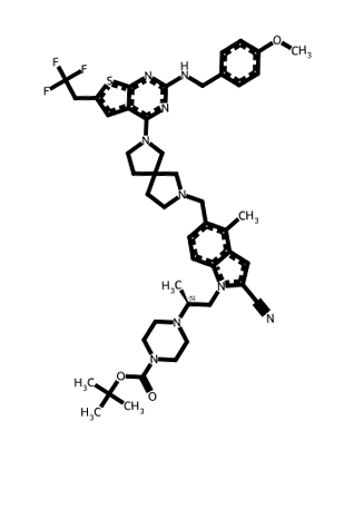 COc1ccc(CNc2nc(N3CCC4(CCN(Cc5ccc6c(cc(C#N)n6C[C@H](C)N6CCN(C(=O)OC(C)(C)C)CC6)c5C)C4)C3)c3cc(CC(F)(F)F)sc3n2)cc1